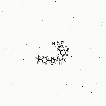 C[C@@H](NC(=O)c1coc(-c2ccc(C(F)(F)F)cc2)n1)c1cc(F)c(NS(C)(=O)=O)c(F)c1